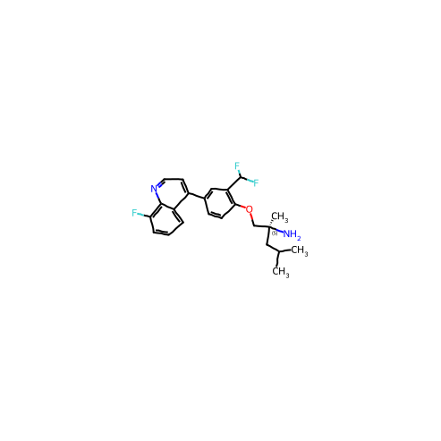 CC(C)C[C@](C)(N)COc1ccc(-c2ccnc3c(F)cccc23)cc1C(F)F